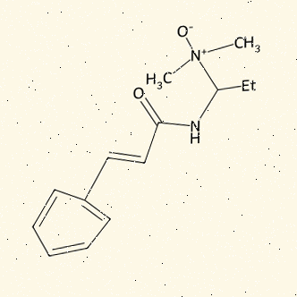 CCC(NC(=O)C=Cc1ccccc1)[N+](C)(C)[O-]